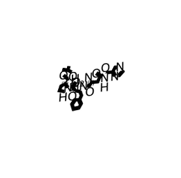 CC(C)(C)OC(=O)[C@@H]1CCCN1C(=O)C(O)C(Cc1ccccc1)NC(=O)[C@@H](N)CC(=O)NC(=O)c1cnccn1